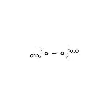 CC[C@H](NC)C(=O)N[C@@H](Cc1ccc(OCC#CC#CCOc2ccc(C[C@H](NC(=O)[C@H](CC)NC)C(=O)N3CC(C)(C)c4ncc(Cc5ccc(Cl)cc5C#N)cc43)cc2)cc1)C(=O)N1CC(C)(C)c2ncc(Cc3ccc(Cl)cc3C#N)cc21